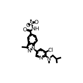 Cc1nn(-c2cnc(N(C)CC(C)C)c(Cl)c2)c2ccc(C(=O)NS(C)(=O)=O)cc12